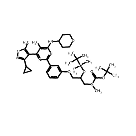 Cc1onc(C2CC2)c1-c1nc(-c2cccc(OCC(CN(C)C(=O)OC(C)(C)C)O[Si](C)(C)C(C)(C)C)c2)nc(NC2CCOCC2)c1C